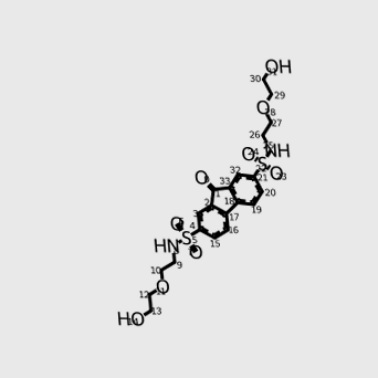 O=C1c2cc(S(=O)(=O)NCCOCCO)ccc2-c2ccc(S(=O)(=O)NCCOCCO)cc21